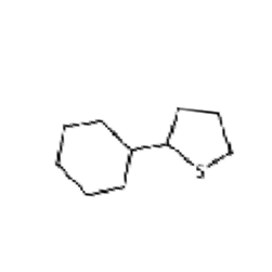 C1CC[C](C2CCCS2)CC1